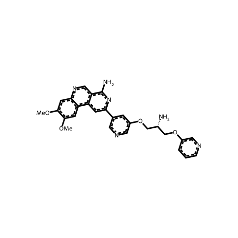 COc1cc2ncc3c(N)nc(-c4cncc(OC[C@H](N)COc5cccnc5)c4)cc3c2cc1OC